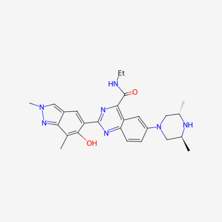 CCNC(=O)c1nc(-c2cc3cn(C)nc3c(C)c2O)nc2ccc(N3C[C@H](C)N[C@@H](C)C3)cc12